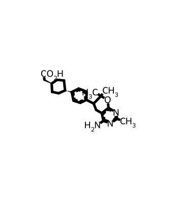 Cc1nc(N)c2c(n1)OC(C)(C)C(c1ccc([C@H]3CC[C@H](CC(=O)O)CC3)cc1)C2